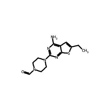 CCc1cc2c(N)nc(N3CCN(C=O)CC3)nc2s1